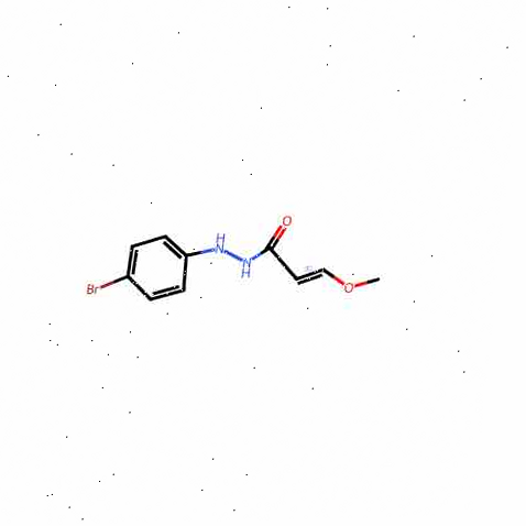 CO/C=C/C(=O)NNc1ccc(Br)cc1